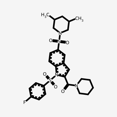 CC1CC(C)CN(S(=O)(=O)c2ccc3c(c2)cc(C(=O)N2CCCCC2)n3S(=O)(=O)c2ccc(F)cc2)C1